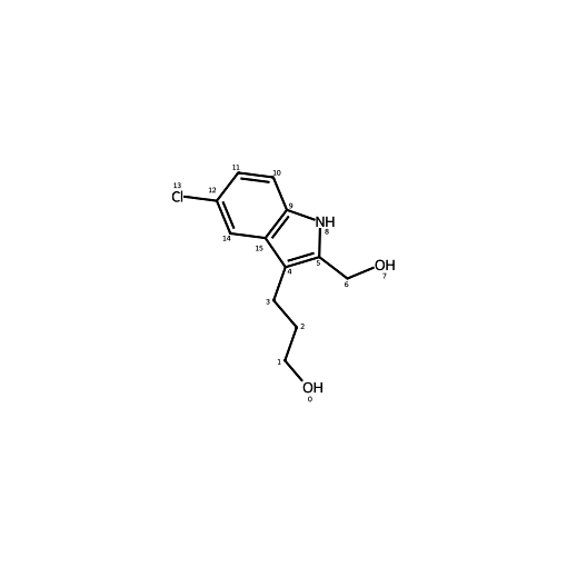 OCCCc1c(CO)[nH]c2ccc(Cl)cc12